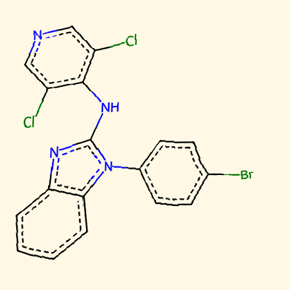 Clc1cncc(Cl)c1Nc1nc2ccccc2n1-c1ccc(Br)cc1